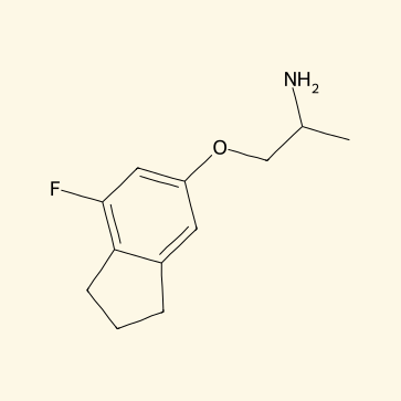 CC(N)COc1cc(F)c2c(c1)CCC2